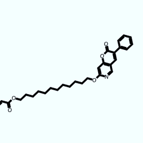 C=CC(=O)OCCCCCCCCCCCCOc1cc2oc(=O)c(-c3ccccc3)cc2cn1